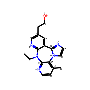 CCN1c2ncc(CCO)cc2-c2nccn2-c2c(C)ccnc21